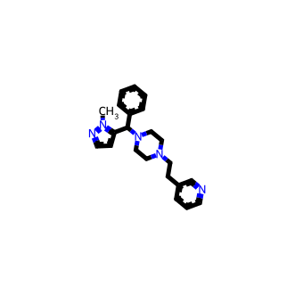 Cn1nccc1C(c1ccccc1)N1CCN(CCc2cccnc2)CC1